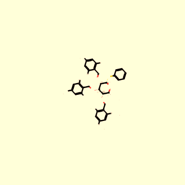 Cc1cc(C)c(CO[C@@H]2[C@H](OCc3c(C)cc(C)cc3C)[C@H](C)O[C@H](Sc3ccccc3)[C@H]2OCc2c(C)cc(C)cc2C)c(C)c1